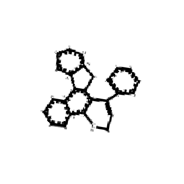 C1=C(c2ccccc2)c2c3c(c4ccccc4c2OC1)-c1ccccc1C3